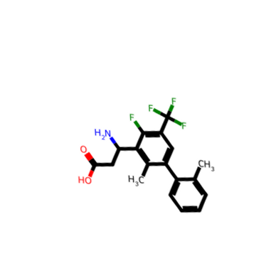 Cc1ccccc1-c1cc(C(F)(F)F)c(F)c(C(N)CC(=O)O)c1C